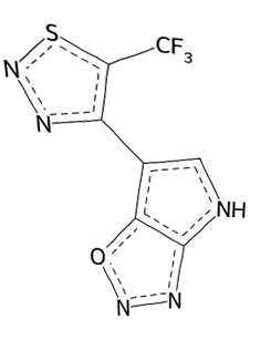 FC(F)(F)c1snnc1-c1c[nH]c2nnoc12